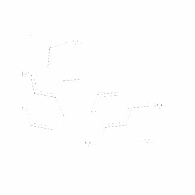 COC(=O)c1[nH]c2ccccc2c1Sc1cc(OC)c(OC)c(OC)c1